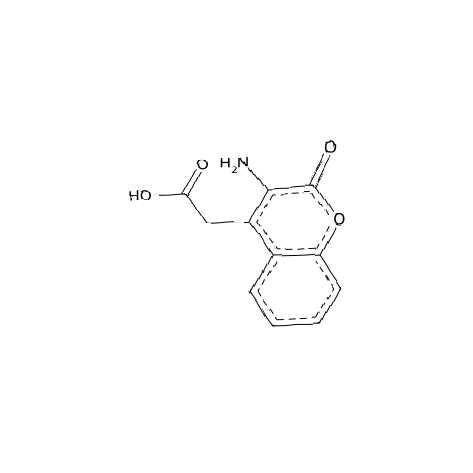 Nc1c(CC(=O)O)c2ccccc2oc1=O